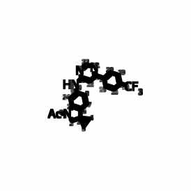 CC(=O)N1CC2(CC2)c2ccc(Nc3cc(-c4ccc(C(F)(F)F)cc4)ncn3)cc21